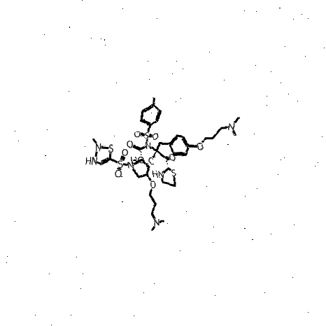 Cc1ccc(S(=O)(=O)N(C(=O)[C@@H]2CC(OCCCN(C)C)CN2S(=O)(=O)C2=CNN(C)S2)[C@@](Cc2ccc(OCCCN(C)C)cc2)(C(=O)O)C(=O)[C@H]2NCCS2)cc1